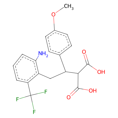 COc1ccc(C(Cc2c(N)cccc2C(F)(F)F)C(C(=O)O)C(=O)O)cc1